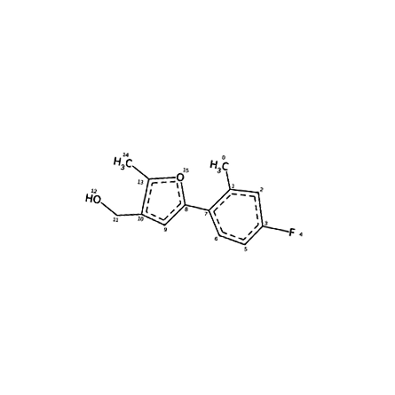 Cc1cc(F)ccc1-c1cc(CO)c(C)o1